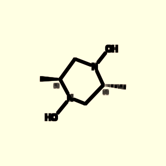 C[C@@H]1CN(O)[C@@H](C)CN1O